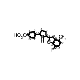 O=C(O)c1ccc(C2CCC(C3Cc4c(C(F)(F)F)ccc(F)c4O3)N2)cc1